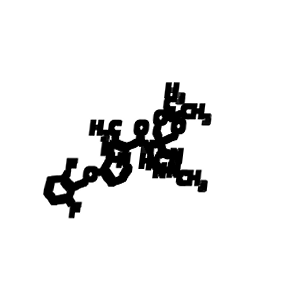 Cc1nc2c(OCc3c(F)cccc3F)cccn2c1C(=O)NC1(c2nnn(C)n2)COC(C)(C)OC1